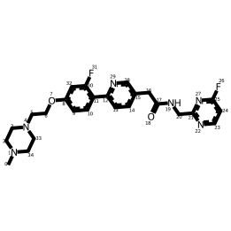 CN1CCN(CCOc2ccc(-c3ccc(CC(=O)NCc4nccc(F)n4)cn3)c(F)c2)CC1